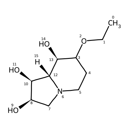 CCOC1CCN2C[C@@H](O)[C@@H](O)[C@@H]2[C@H]1O